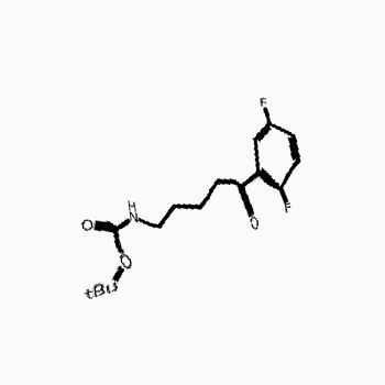 CC(C)(C)OC(=O)NCCCCC(=O)c1cc(F)ccc1F